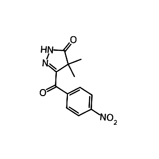 CC1(C)C(=O)NN=C1C(=O)c1ccc([N+](=O)[O-])cc1